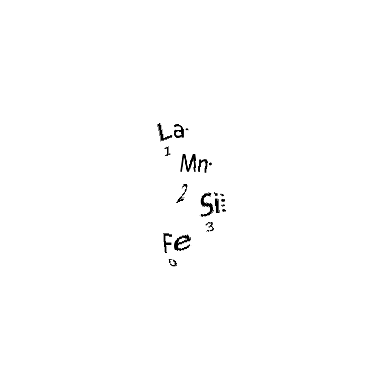 [Fe].[La].[Mn].[Si]